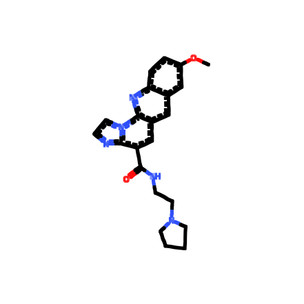 COc1ccc2nc3c(cc(C(=O)NCCN4CCCC4)c4nccn43)cc2c1